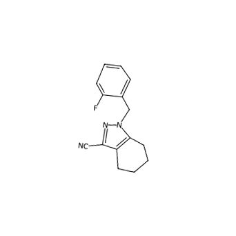 N#Cc1nn(Cc2ccccc2F)c2c1CCCC2